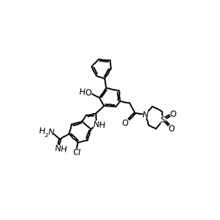 N=C(N)c1cc2cc(-c3cc(CC(=O)N4CCS(=O)(=O)CC4)cc(-c4ccccc4)c3O)[nH]c2cc1Cl